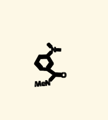 CNC(=O)c1cccc(N(C)C)c1